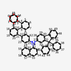 c1ccc(-c2ccccc2-c2c(-c3ccccc3)cccc2-c2ccc(N(c3ccc4c(c3)C(c3ccccc3)(c3ccccc3)c3ccccc3-4)c3cccc4ccccc34)cc2)cc1